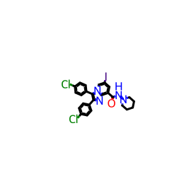 O=C(NN1CCCCC1)c1cc(I)cn2c(-c3ccc(Cl)cc3)c(-c3ccc(Cl)cc3)nc12